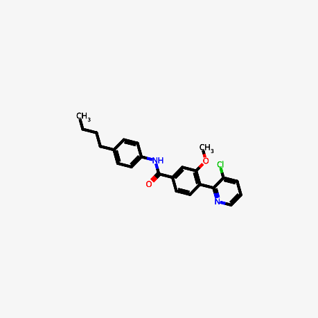 CCCCc1ccc(NC(=O)c2ccc(-c3ncccc3Cl)c(OC)c2)cc1